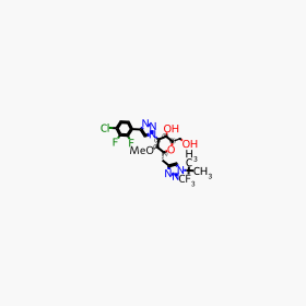 CO[C@@H]1[C@@H](n2cc(-c3ccc(Cl)c(F)c3F)nn2)[C@@H](O)[C@@H](CO)O[C@@H]1Cc1cn(C(C)(C)C(F)(F)F)nn1